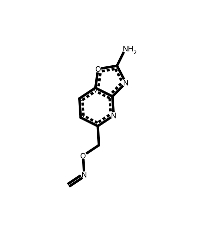 C=NOCc1ccc2oc(N)nc2n1